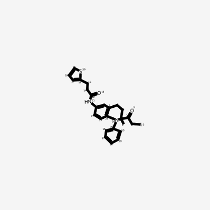 CC1(C(=O)CI)CCc2cc(NC(=O)CCc3cccs3)ccc2N1c1ccccc1